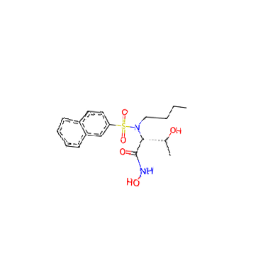 CCCCN([C@@H](C(=O)NO)C(C)O)S(=O)(=O)c1ccc2ccccc2c1